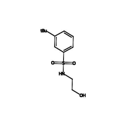 CC(C)(C)c1cccc(S(=O)(=O)NCCO)c1